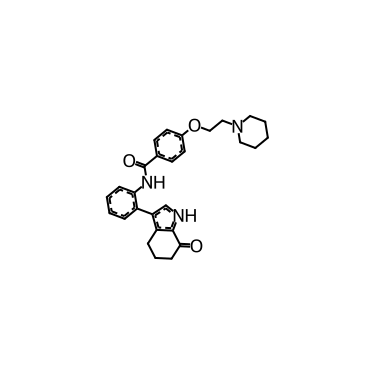 O=C(Nc1ccccc1-c1c[nH]c2c1CCCC2=O)c1ccc(OCCN2CCCCC2)cc1